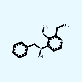 CCc1nccc(N(O)Cc2ccccc2)c1OC